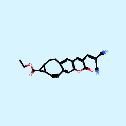 CCOC(=O)C1C2C#Cc3cc4oc(=O)c(C=C(C#N)C#N)cc4cc3CCC21